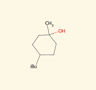 CCC(C)C1CCC(C)(O)CC1